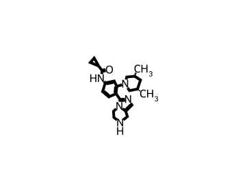 C[C@H]1C[C@H](C)CN(c2cc(NC(=O)C3CC3)ccc2-c2ncc3n2CCNC3)C1